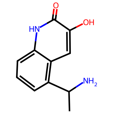 CC(N)c1cccc2[nH]c(=O)c(O)cc12